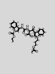 CCOC(=O)n1cc(NC(=O)NC(C(N)=O)C(=O)c2cn(CCCOC(C)=O)c3ccccc23)c2ccccc21